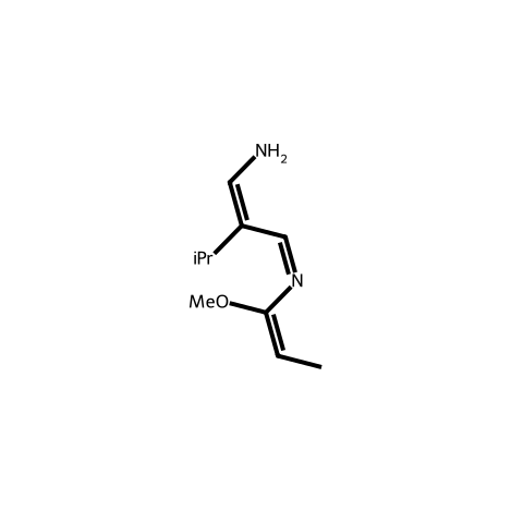 C\C=C(/N=C\C(=C/N)C(C)C)OC